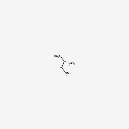 COCCC(=O)O.[CaH2]